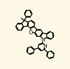 CC1(c2ccccc2)c2ccccc2-c2c1ccc1c2oc2cc3c(cc21)c1ccccc1n3-c1cc(-c2ccccc2)cc(-c2ccccc2)n1